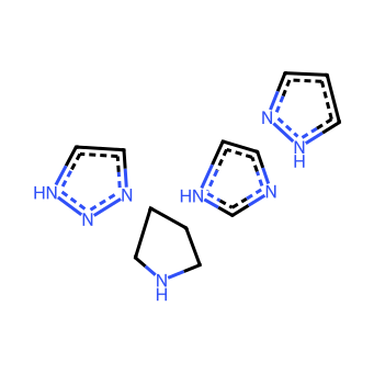 C1CCNC1.c1c[nH]cn1.c1c[nH]nn1.c1cn[nH]c1